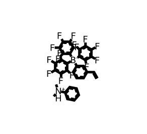 C=Cc1cccc([B-](c2c(F)c(F)c(F)c(F)c2F)(c2c(F)c(F)c(F)c(F)c2F)c2c(F)c(F)c(F)c(F)c2F)c1.C[NH+](C)c1ccccc1